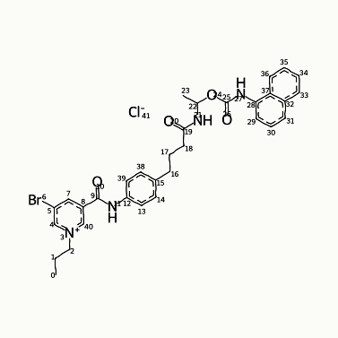 CCC[n+]1cc(Br)cc(C(=O)Nc2ccc(CCCC(=O)NC(C)OC(=O)Nc3cccc4ccccc34)cc2)c1.[Cl-]